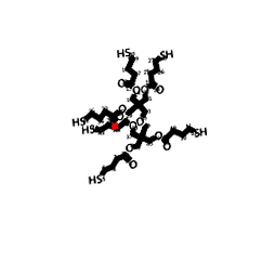 O=C(CCCS)OCC(COCC(COC(=O)CCCS)(COC(=O)CCCS)COC(=O)CCCS)(COC(=O)CCCS)COC(=O)CCCS